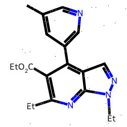 CCOC(=O)c1c(CC)nc2c(cnn2CC)c1-c1cncc(C)c1